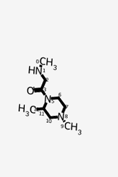 CNCC(=O)N1CCN(C)CC1C